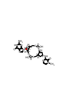 Cn1ccnc(N[C@@H]2C[C@@H]3COP(=O)(O)O[C@@H]4[C@H](O)[C@@H](COP(=O)(O)O[C@H]3C2)O[C@H]4n2cnc3c(=O)[nH]c(N)nc32)c1=O